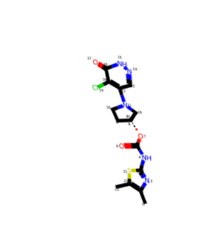 Cc1nc(NC(=O)O[C@@H]2CCN(c3cn[nH]c(=O)c3Cl)C2)sc1C